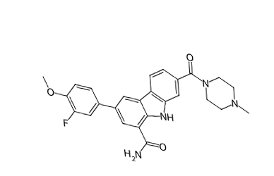 COc1ccc(-c2cc(C(N)=O)c3[nH]c4cc(C(=O)N5CCN(C)CC5)ccc4c3c2)cc1F